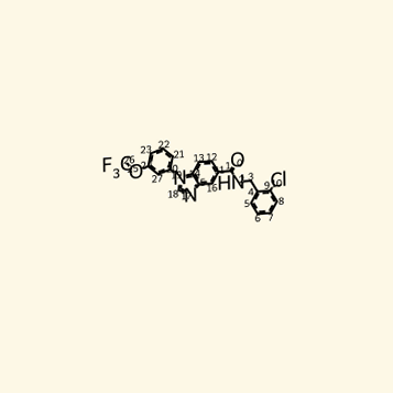 O=C(NCc1ccccc1Cl)c1ccc2c(c1)ncn2-c1cccc(OC(F)(F)F)c1